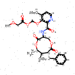 CCOCC(=O)OCOc1c(OC)ccnc1C(=O)NC1COC(=O)[C@H](Cc2ccccc2)C(OCC(C)C)[C@H](C)OC1=O